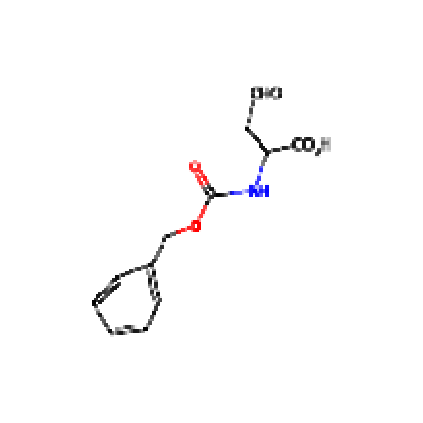 O=CCC(NC(=O)OCc1ccccc1)C(=O)O